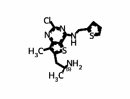 Cc1c(C[C@H](C)N)sc2c(NCc3cccs3)nc(Cl)nc12